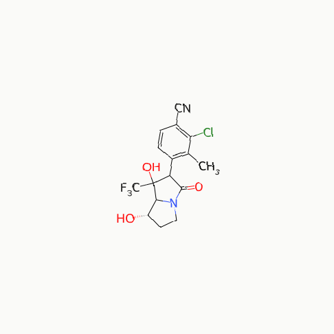 Cc1c(C2C(=O)N3CC[C@H](O)C3C2(O)C(F)(F)F)ccc(C#N)c1Cl